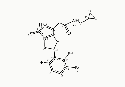 O=C(Cc1[nH]c(=S)n2c1C[C@@H](c1c(F)ccc(Br)c1F)C2)NCC1CC1